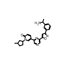 CC1CCC(n2cc(-c3cncc(-c4cc(-c5cccc(C(C)N)c5)no4)n3)ccc2=O)C1